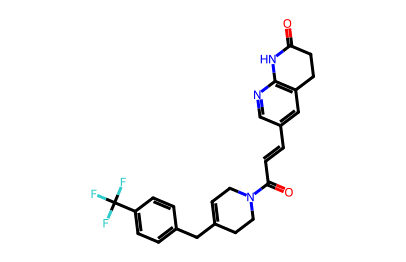 O=C1CCc2cc(/C=C/C(=O)N3CC=C(Cc4ccc(C(F)(F)F)cc4)CC3)cnc2N1